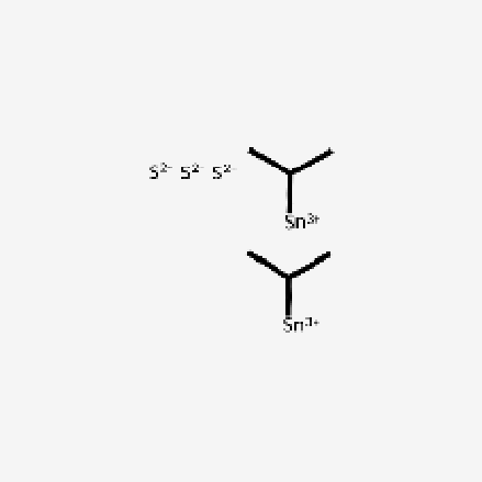 C[CH](C)[Sn+3].C[CH](C)[Sn+3].[S-2].[S-2].[S-2]